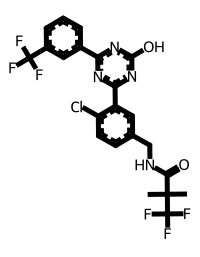 CC(C)(C(=O)NCc1ccc(Cl)c(-c2nc(O)nc(-c3cccc(C(F)(F)F)c3)n2)c1)C(F)(F)F